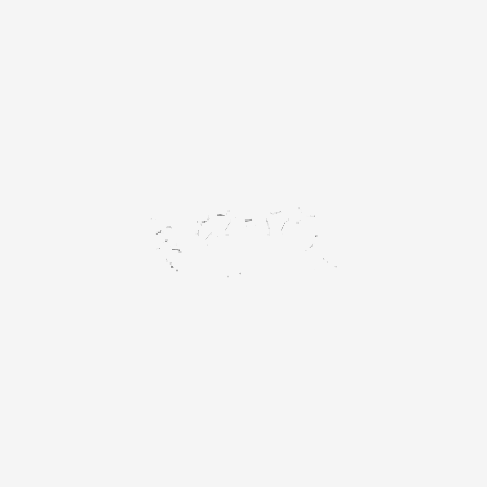 CN(C)CC(=O)OCC1(c2ccc(C#Cc3ccc4nn(CC[C@](C)(C(=O)NO)S(C)(=O)=O)cc4c3)cc2)CC1.Cl